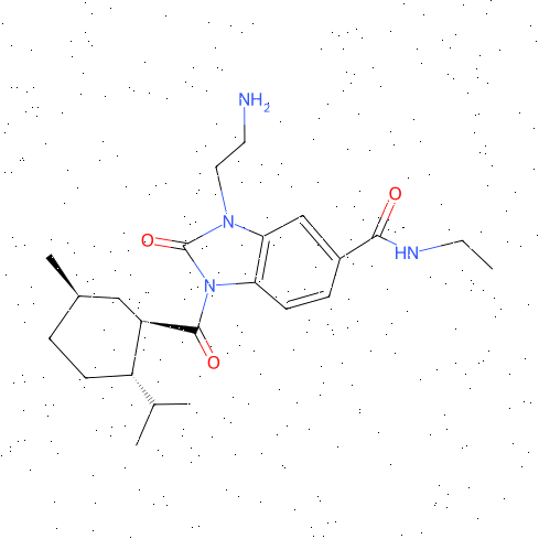 CCNC(=O)c1ccc2c(c1)n(CCN)c(=O)n2C(=O)[C@@H]1C[C@H](C)CC[C@H]1C(C)C